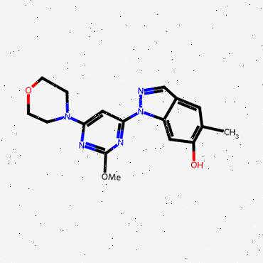 COc1nc(N2CCOCC2)cc(-n2ncc3cc(C)c(O)cc32)n1